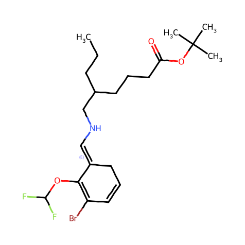 CCCC(CCCC(=O)OC(C)(C)C)CN/C=C1\CC=CC(Br)=C1OC(F)F